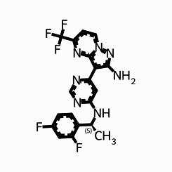 C[C@H](Nc1cc(-c2c(N)nn3ccc(C(F)(F)F)nc23)ncn1)c1ccc(F)cc1F